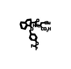 CC(C)(C)C[C@H](NC(=O)c1ccc2ccccc2c1OCc1ccc(OC(F)F)cc1)C(=O)O